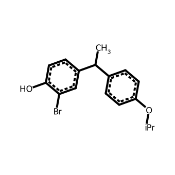 CC(C)Oc1ccc(C(C)c2ccc(O)c(Br)c2)cc1